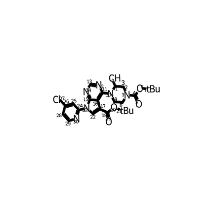 CC1CN(C(=O)OC(C)(C)C)CCN1c1ncnc2c1c(C(=O)OC(C)(C)C)cn2-c1cc(Cl)ccn1